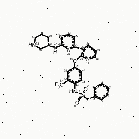 O=S(=O)(Cc1ccccc1)Nc1ccc(Oc2ncccc2-c2ccnc(NC3CCCNC3)n2)cc1C(F)(F)F